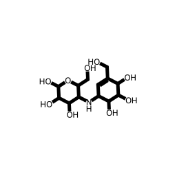 OCC1=CC(NC2C(CO)OC(O)C(O)C2O)C(O)C(O)C1O